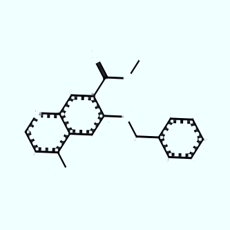 COC(=O)c1cc2nccc(O)c2cc1OCc1ccccc1